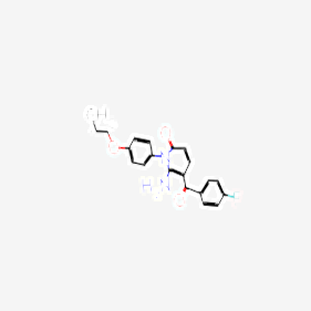 C[CH]COc1ccc(-n2c(N)c(C(=O)c3ccc(F)cc3)ccc2=O)cc1